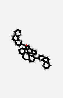 c1ccc2c(c1)CCc1ccc(-c3ccc4ccc5cccnc5c4n3)cc1C21c2ccccc2-c2ccc(-c3ccc4ccc5cccnc5c4n3)cc21